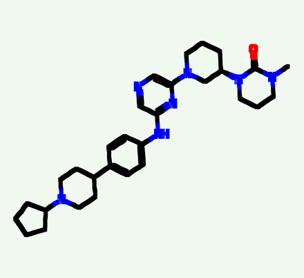 CN1CCCN([C@@H]2CCCN(c3cncc(Nc4ccc(C5CCN(C6CCCC6)CC5)cc4)n3)C2)C1=O